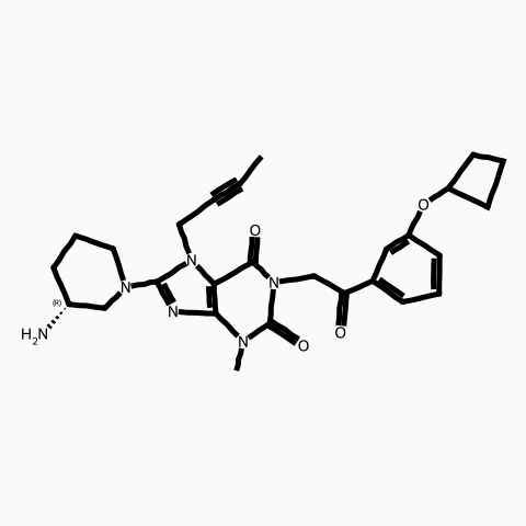 CC#CCn1c(N2CCC[C@@H](N)C2)nc2c1c(=O)n(CC(=O)c1cccc(OC3CCC3)c1)c(=O)n2C